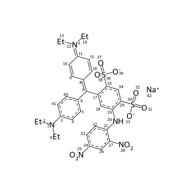 CCN(CC)c1ccc(C(=C2C=CC(=[N+](CC)CC)C=C2)c2cc(Nc3ccc([N+](=O)[O-])cc3[N+](=O)[O-])c(S(=O)(=O)[O-])cc2S(=O)(=O)[O-])cc1.[Na+]